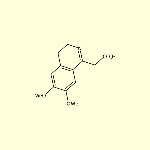 COc1cc2c(cc1OC)C(CC(=O)O)=NCC2